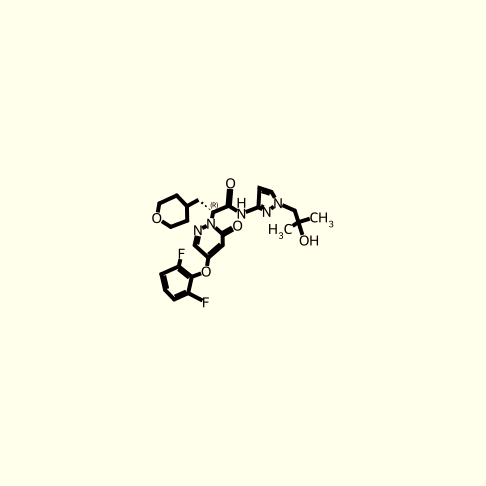 CC(C)(O)Cn1ccc(NC(=O)[C@@H](CC2CCOCC2)n2ncc(Oc3c(F)cccc3F)cc2=O)n1